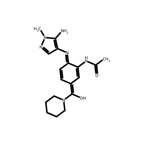 CC(=O)NC1=CC(=C(O)N2CCCCC2)C=CC1=Nc1cnn(C)c1N